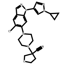 N#CC1(N2CCN(c3cc4c(cnn4-c4cnn(C5CC5)c4)cc3Cl)CC2)CCOC1